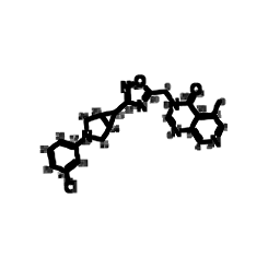 Cc1cncc2ncn(Cc3nc(C4C5CN(c6cccc(Cl)c6)CC54)no3)c(=O)c12